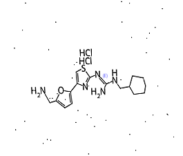 Cl.Cl.NCc1ccc(-c2csc(/N=C(\N)NCC3CCCCC3)n2)o1